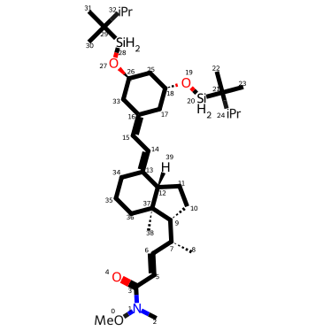 CON(C)C(=O)/C=C/[C@@H](C)[C@H]1CC[C@H]2/C(=C/C=C3C[C@@H](O[SiH2]C(C)(C)C(C)C)C[C@H](O[SiH2]C(C)(C)C(C)C)C3)CCC[C@]12C